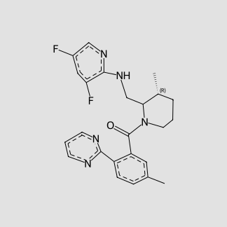 Cc1ccc(-c2ncccn2)c(C(=O)N2CCC[C@@H](C)C2CNc2ncc(F)cc2F)c1